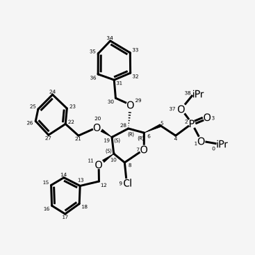 CC(C)OP(=O)(CC[C@H]1OC(Cl)[C@@H](OCc2ccccc2)[C@@H](OCc2ccccc2)[C@@H]1OCc1ccccc1)OC(C)C